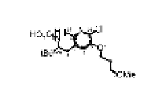 COCCCOc1cc(C[C@H](NC(=O)O)C(C)(C)C)c(I)nc1Cl